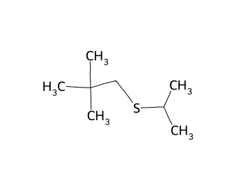 CC(C)SCC(C)(C)C